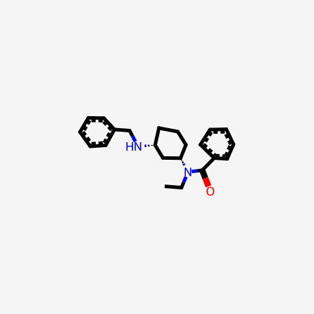 CCN(C(=O)c1ccccc1)[C@H]1CCC[C@@H](NCc2ccccc2)C1